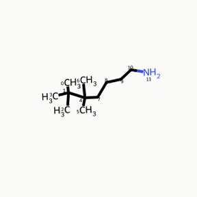 CC(C)(C)C(C)(C)CCCCN